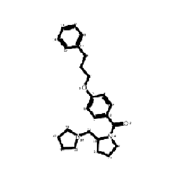 O=C(c1ccc(OCCCc2ccccc2)cc1)N1CCCC1CN1CCCC1